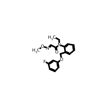 CCN(C(=O)C=NOC)c1ccccc1COc1cccc(F)c1